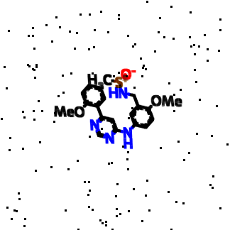 COc1ccc(Nc2cc(-c3ccccc3OC)ncn2)cc1CN[S+](C)[O-]